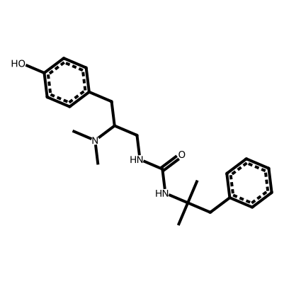 CN(C)C(CNC(=O)NC(C)(C)Cc1ccccc1)Cc1ccc(O)cc1